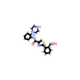 O=C(Nc1ccccc1N1CCNCC1)c1csc(-c2ccccc2CO)n1